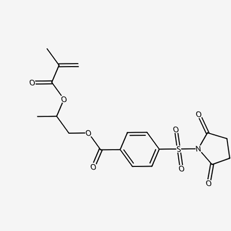 C=C(C)C(=O)OC(C)COC(=O)c1ccc(S(=O)(=O)N2C(=O)CCC2=O)cc1